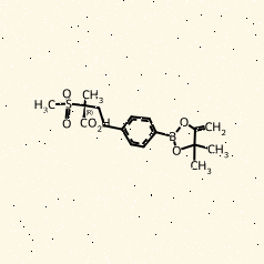 C=C1OB(c2ccc(CC[C@](C)(C(=O)O)S(C)(=O)=O)cc2)OC1(C)C